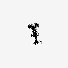 CC(C)N(CCCCNC(=O)c1ccc(C=C(Cc2ncc[nH]2)Cc2ncc[nH]2)cc1)C(C)C